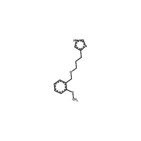 CSc1ccccc1COCCCc1c[nH]cn1